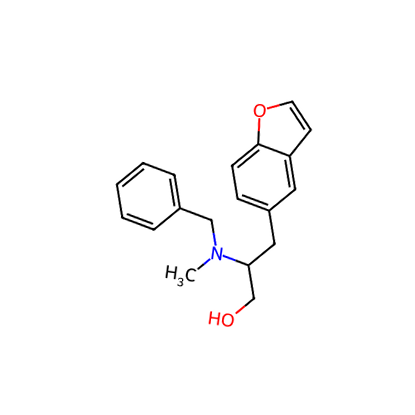 CN(Cc1ccccc1)C(CO)Cc1ccc2occc2c1